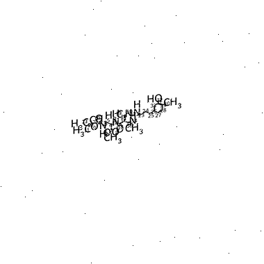 COC(=O)C(CNC(=O)OC(C)(C)C)NC(=O)c1c(C)nc(NCCCc2ccc(C)c(O)c2)nc1C